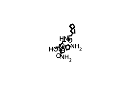 CC(CN(C(CO)CCCCNC(=O)[CH]Cc1ccc2ccccc2c1)S(=O)(=O)c1ccc(N)cc1)C(N)=O